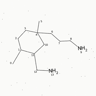 CC1CCC(C)(CCCN)CC1CN